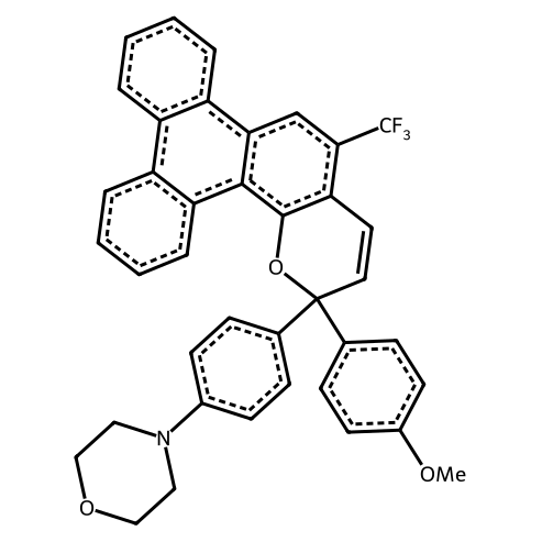 COc1ccc(C2(c3ccc(N4CCOCC4)cc3)C=Cc3c(C(F)(F)F)cc4c5ccccc5c5ccccc5c4c3O2)cc1